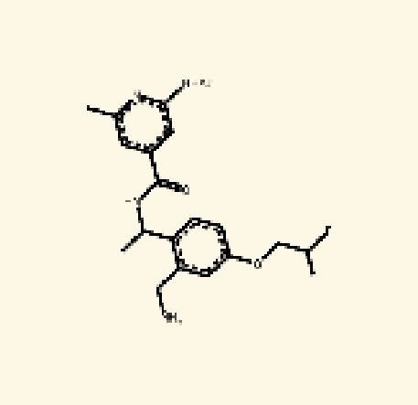 CC(=O)Nc1cc(C(=O)NC(C)c2ccc(OCC(F)F)cc2CN)cc(C)n1